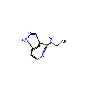 FC(F)(F)CNc1nccc2[nH]ncc12